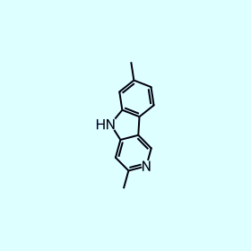 Cc1ccc2c(c1)[nH]c1cc(C)ncc12